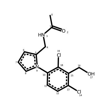 CC(=O)NCc1cccn1-c1ccc(Cl)c(CO)c1Cl